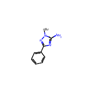 CCCCn1nc(-c2ccccc2)nc1N